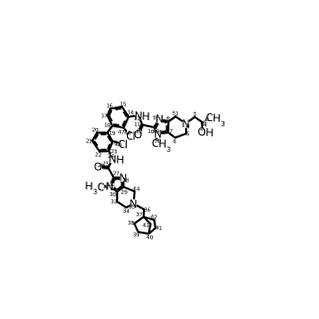 C[C@H](O)CN1CCc2c(nc(C(=O)Nc3cccc(-c4cccc(NC(=O)c5nc6c(n5C)CCN(CC57CCC(CC5)C7)C6)c4Cl)c3Cl)n2C)C1